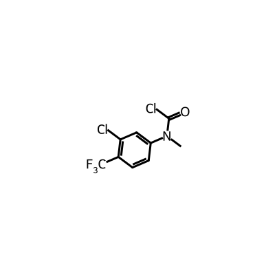 CN(C(=O)Cl)c1ccc(C(F)(F)F)c(Cl)c1